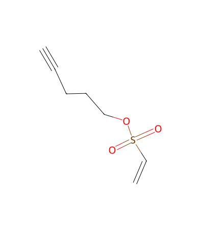 C#CCCCOS(=O)(=O)C=C